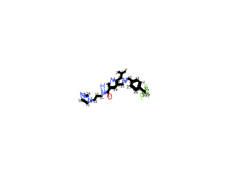 CC(C)C1c2ncc(C(=O)NCCCn3ccnc3)cc2CN1Cc1ccc(C(F)(F)F)cc1